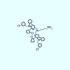 NCCCCCN(Cc1cc2c3ccccc3n(Cc3cccc(Cl)c3)c2c(-c2ccccc2Cl)n1)Cc1cc2c3ccccc3n(Cc3cccc(Cl)c3)c2c(-c2ccccc2Cl)n1